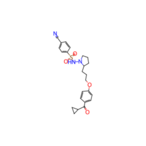 N#Cc1ccc(S(=O)(=O)NN2CCCC2CCCOc2ccc(C(=O)C3CC3)cc2)cc1